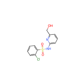 O=S(=O)(Nc1cccc(CO)n1)c1ccccc1Cl